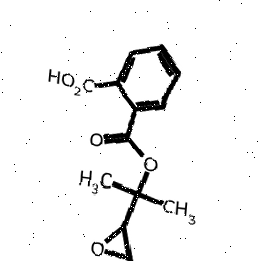 CC(C)(OC(=O)c1ccccc1C(=O)O)C1CO1